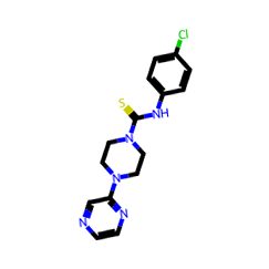 S=C(Nc1ccc(Cl)cc1)N1CCN(c2cnccn2)CC1